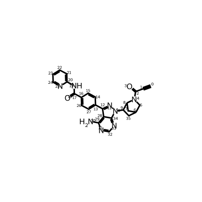 C#CC(=O)N1CC2CC1C(n1nc(-c3ccc(C(=O)Nc4ccccn4)cc3)c3c(N)ncnc31)C2